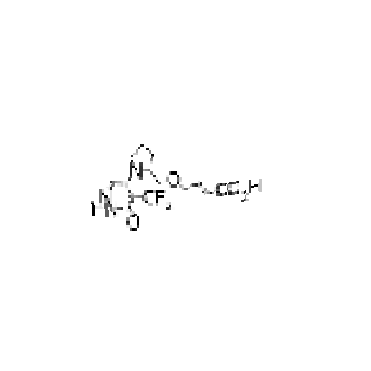 O=C(O)/C=C/COC[C@@H]1CCCN1c1cn[nH]c(=O)c1C(F)(F)F